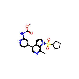 COC(=O)Nc1cc(-c2cnc(C)c3c2ccn3S(=O)(=O)C2CCCC2)ccn1